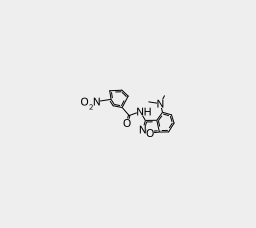 CN(C)c1cccc2onc(NC(=O)c3cccc([N+](=O)[O-])c3)c12